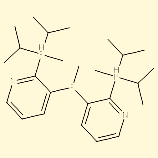 CC(C)[PH](C)(c1ncccc1P(C)c1cccnc1[PH](C)(C(C)C)C(C)C)C(C)C